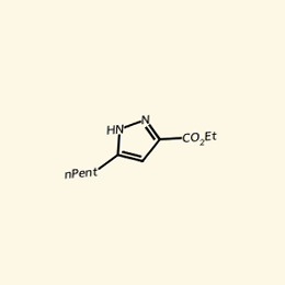 CCCCCc1cc(C(=O)OCC)n[nH]1